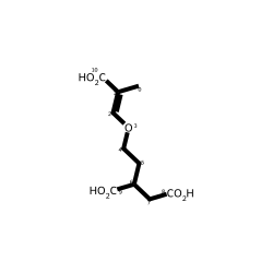 CC(=COCCC(CC(=O)O)C(=O)O)C(=O)O